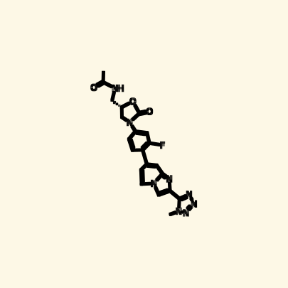 CC(=O)NC[C@H]1CN(c2ccc(-c3ccn4cc(-c5nnnn5C)nc4c3)c(F)c2)C(=O)O1